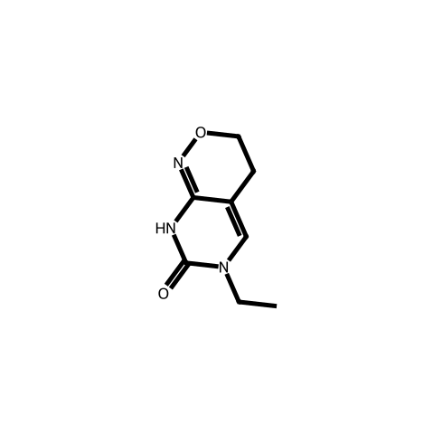 CCN1C=C2CCON=C2NC1=O